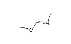 C/N=C/OC